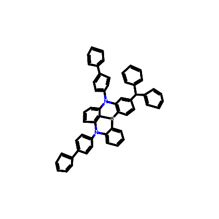 c1ccc(-c2ccc(N3c4ccccc4B4c5ccc(C(c6ccccc6)c6ccccc6)cc5N(c5ccc(-c6ccccc6)cc5)c5cccc3c54)cc2)cc1